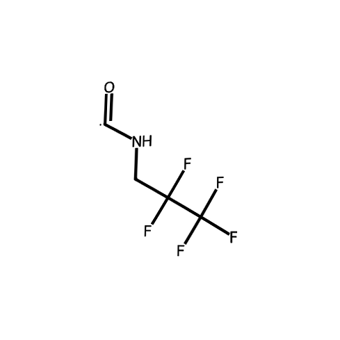 O=[C]NCC(F)(F)C(F)(F)F